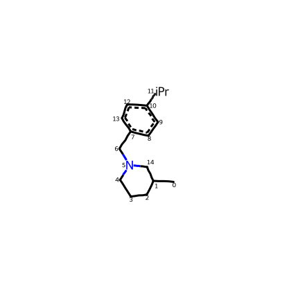 CC1CCCN(Cc2ccc(C(C)C)cc2)C1